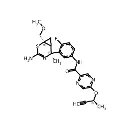 C#C[C@H](C)Oc1cnc(C(=O)Nc2ccc(F)c([C@@]3(C)N=C(N)S[C@@]4(COC)CC43)c2)cn1